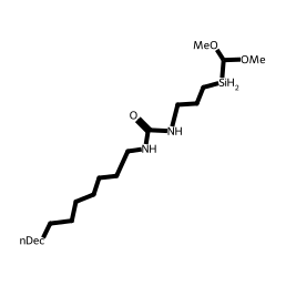 CCCCCCCCCCCCCCCCCNC(=O)NCCC[SiH2]C(OC)OC